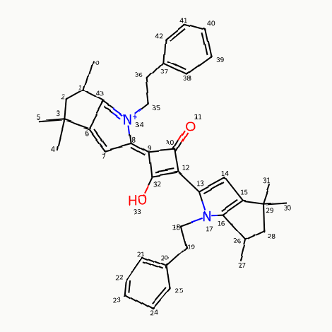 CC1CC(C)(C)C2=C/C(=C3/C(=O)C(c4cc5c(n4CCc4ccccc4)C(C)CC5(C)C)=C3O)[N+](CCc3ccccc3)=C21